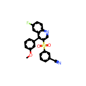 COc1cccc(-c2c(S(=O)(=O)c3cccc(C#N)c3)cnc3ccc(F)cc23)c1